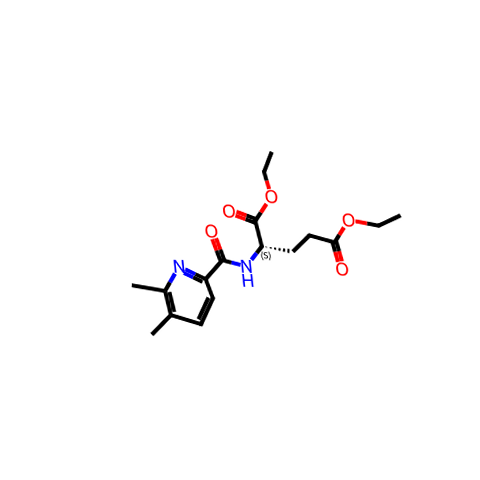 CCOC(=O)CC[C@H](NC(=O)c1ccc(C)c(C)n1)C(=O)OCC